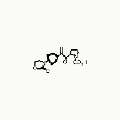 O=C(Nc1ccc(N2CCOCC2=O)cc1)[C@H]1C=CCN1C(=O)O